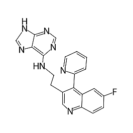 Fc1ccc2ncc(CCNc3ncnc4[nH]cnc34)c(-c3ccccn3)c2c1